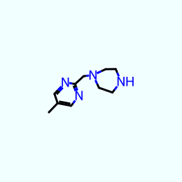 Cc1cnc(CN2CCNCC2)nc1